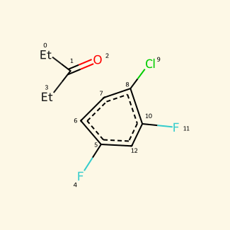 CCC(=O)CC.Fc1ccc(Cl)c(F)c1